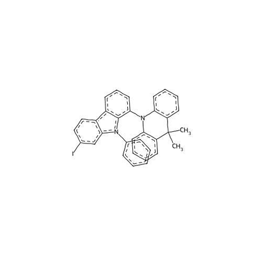 CC1(C)c2ccccc2N(c2cccc3c4ccc(I)cc4n(-c4ccccc4)c23)c2ccccc21